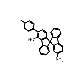 CC1C=CC(c2ccc3c(c2O)-c2ccccc2C32c3ccccc3-c3ccc(N)cc32)=CC1